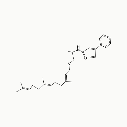 C=C/C(=C\C(=O)NC(C)CSC/C=C(\C)CC/C=C(\C)CCC=C(C)C)c1ccccc1